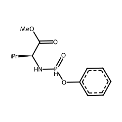 COC(=O)[C@@H](N[PH](=O)Oc1ccccc1)C(C)C